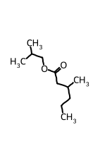 CCCC(C)CC(=O)OCC(C)C